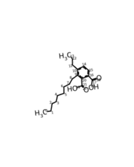 CCCCCCCCCc1c(CCC)ccc(C(=O)O)c1C(=O)O